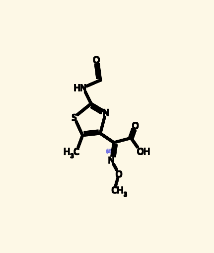 CO/N=C(\C(=O)O)c1nc(NC=O)sc1C